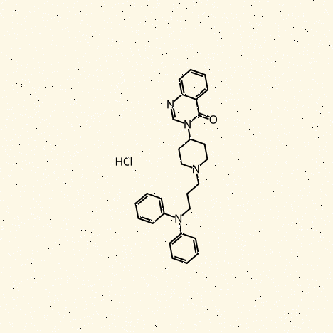 Cl.O=c1c2ccccc2ncn1C1CCN(CCCN(c2ccccc2)c2ccccc2)CC1